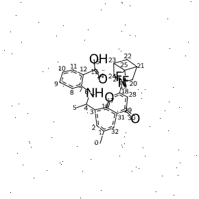 Cc1cc(C(C)Nc2ccccc2C(=O)O)c2oc(N3CC4CC(C3)C4(F)F)cc(=O)c2c1